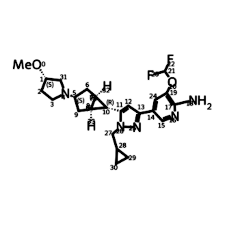 CO[C@H]1CCN([C@@H]2C[C@@H]3[C@H](C2)[C@H]3c2cc(-c3cnc(N)c(OC(F)F)c3)nn2CC2CC2)C1